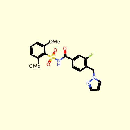 COc1cccc(OC)c1S(=O)(=O)NC(=O)c1ccc(Cn2cccn2)c(F)c1